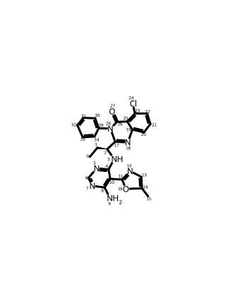 CC[C@H](Nc1ncnc(N)c1-c1ncc(C)o1)c1nc2cccc(Cl)c2c(=O)n1-c1ccccc1